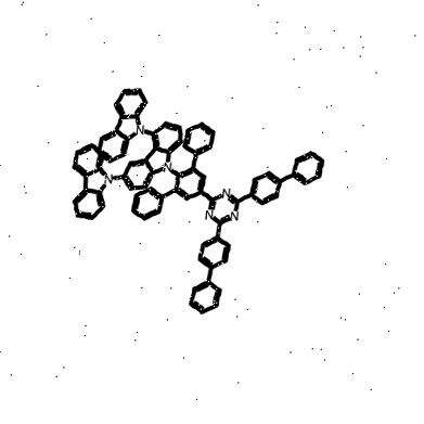 c1ccc(-c2ccc(-c3nc(-c4ccc(-c5ccccc5)cc4)nc(-c4cc(-c5ccccc5)c(-n5c6ccc(-n7c8ccccc8c8ccccc87)cc6c6c(-n7c8ccccc8c8ccccc87)cccc65)c(-c5ccccc5)c4)n3)cc2)cc1